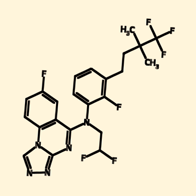 CC(C)(CCc1cccc(N(CC(F)F)c2nc3nncn3c3ccc(F)cc23)c1F)C(F)(F)F